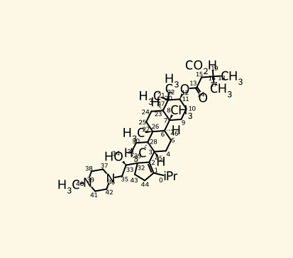 CC(C)C1=C2[C@H]3CC[C@@H]4[C@@]5(C)CC[C@H](OC(=O)CC(C)(C)C(=O)O)C(C)(C)[C@@H]5CC[C@@]4(C)[C@]3(C)CC[C@@]2([C@H](O)CN2CCN(C)CC2)CC1